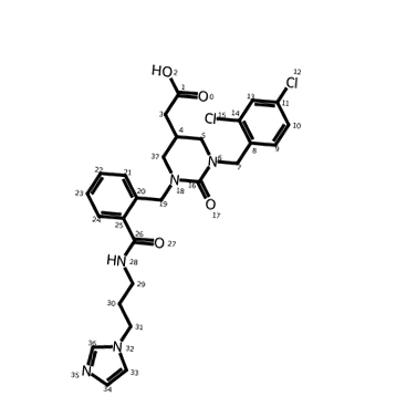 O=C(O)CC1CN(Cc2ccc(Cl)cc2Cl)C(=O)N(Cc2ccccc2C(=O)NCCCn2ccnc2)C1